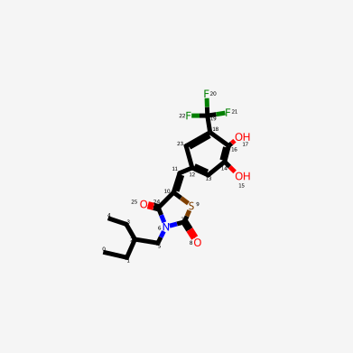 CCC(CC)CN1C(=O)S/C(=C\c2cc(O)c(O)c(C(F)(F)F)c2)C1=O